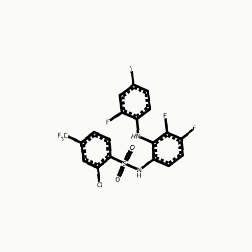 O=S(=O)(Nc1ccc(F)c(F)c1Nc1ccc(I)cc1F)c1ccc(C(F)(F)F)cc1Cl